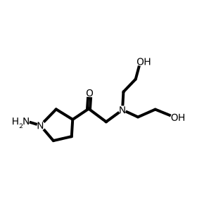 NN1CCC(C(=O)CN(CCO)CCO)C1